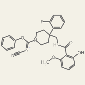 COc1cccc(O)c1C(=O)NCC1(c2ccccc2F)CCN(/C(=N/C#N)Oc2ccccc2)CC1